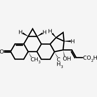 C[C@]12CCC(=O)C=C1[C@@H]1C[C@@H]1C1C2CC[C@@]2(C)C1[C@@H]1C[C@@H]1[C@@]2(O)C=CC(=O)O